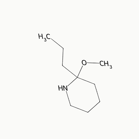 CCCC1(OC)CCCCN1